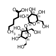 CCCCCC(=O)O.OC[C@H]1O[C@@](CO)(O[C@H]2O[C@H](CO)[C@@H](O)[C@H](O)[C@H]2O)[C@@H](O)[C@@H]1O